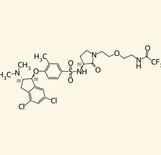 Cc1cc(S(=O)(=O)N[C@H]2CCN(CCOCCNC(=O)C(F)(F)F)C2=O)ccc1O[C@H]1c2cc(Cl)cc(Cl)c2C[C@@H]1N(C)C